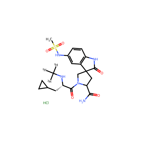 Cl.[2H]C([2H])([2H])N[C@@H](CC1CC1)C(=O)N1CC2(CC1C(N)=O)C(=O)Nc1ccc(NS(C)(=O)=O)cc12